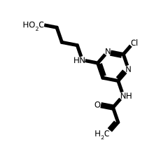 C=CC(=O)Nc1cc(NCCCC(=O)O)nc(Cl)n1